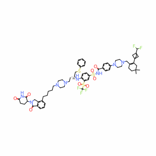 CC1(C)CCC(CN2CCN(c3ccc(C(=O)NS(=O)(=O)c4ccc(N[C@H](CCN5CCN(CCCCCc6cccc7c6CN(C6CCC(=O)NC6=O)C7=O)CC5)CSc5ccccc5)c(S(=O)(=O)C(F)(F)F)c4)cc3)CC2)=C(C23CC(C(F)F)(C2)C3)C1